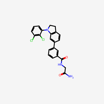 NC(=O)CNC(=O)c1cccc(-c2ccc3c(c2)N(c2cccc(Cl)c2Cl)CC3)c1